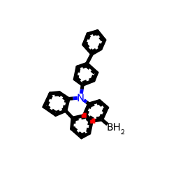 Bc1ccc(N(c2ccc(-c3ccccc3)cc2)c2ccccc2-c2ccccc2)cc1